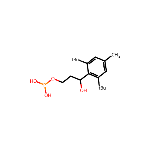 Cc1cc(C(C)(C)C)c(C(O)CCOP(O)O)c(C(C)(C)C)c1